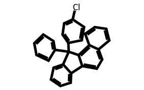 Clc1ccc(C2(c3ccccc3)c3ccccc3-c3ccc4ccccc4c32)cc1